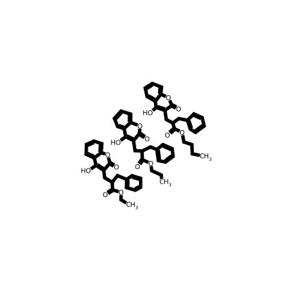 CCCCOC(=O)C(Cc1ccccc1)Cc1c(O)c2ccccc2oc1=O.CCCOC(=O)C(Cc1ccccc1)Cc1c(O)c2ccccc2oc1=O.CCOC(=O)C(Cc1ccccc1)Cc1c(O)c2ccccc2oc1=O